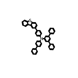 c1ccc(-c2ccc(N(c3ccc(-c4ccc5sc6ccccc6c5c4)cc3)c3cc(-c4ccccc4)cc(-c4ccccc4)c3)cc2)cc1